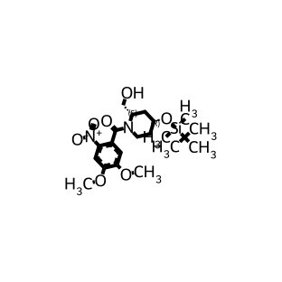 COc1cc(C(=O)N2CC[C@@H](O[Si](C)(C)C(C)(C)C)C[C@H]2CO)c([N+](=O)[O-])cc1OC